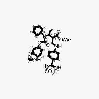 CCOC(=O)NC(=N)c1ccc(NCC(C(=O)OC)C(C)N(C(=O)Oc2ccc3[nH]cnc3c2)c2ccccc2)cc1